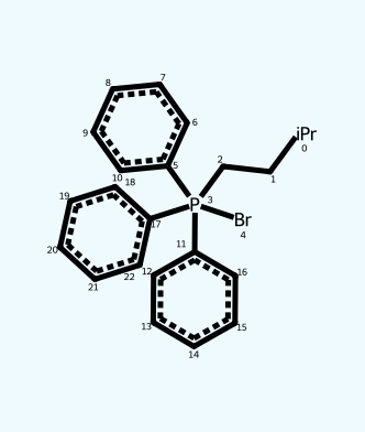 CC(C)CCP(Br)(c1ccccc1)(c1ccccc1)c1ccccc1